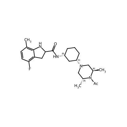 CC(=O)N1[C@H](C)CN([C@H]2CCC[C@@H](NC(=O)C3Cc4c(F)ccc(C)c4N3)C2)C[C@H]1C